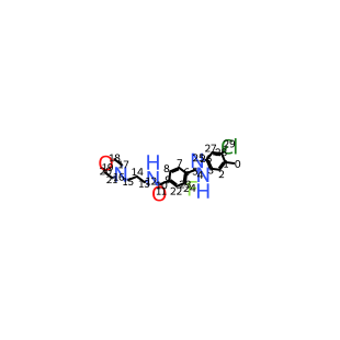 Cc1cc2[nH]c(-c3ccc(C(=O)NCCCN4CCOCC4)cc3F)nc2cc1Cl